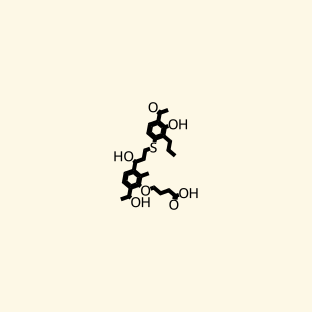 CCCc1c(SCCC(O)c2ccc(C(C)O)c(OCCCC(=O)O)c2C)ccc(C(C)=O)c1O